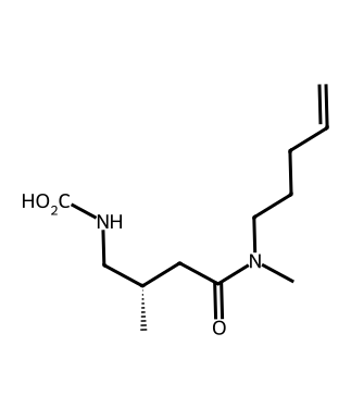 C=CCCCN(C)C(=O)C[C@H](C)CNC(=O)O